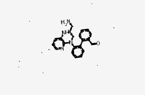 NCCCN(c1ccccc1-c1ccccc1C=O)c1ncccc1N